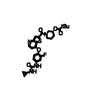 CC(C)(C)C(=O)O[C@@H]1CCCN(C(=O)c2cc3nccc(Oc4ccc(NC(=O)NC5CC5)cc4F)c3s2)C1